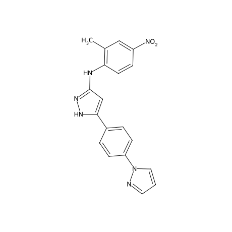 Cc1cc([N+](=O)[O-])ccc1Nc1cc(-c2ccc(-n3cccn3)cc2)[nH]n1